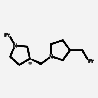 CC(C)CC1CCN(C[C@H]2CCN(C(C)C)C2)C1